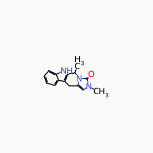 CC1c2[nH]c3ccccc3c2Cc2cn(C)c(=O)n21